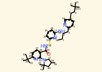 CCC(Cc1ccc(CCC(C)(C)C)cn1)Nc1cccc(SNC(=O)c2ccc(C(C)(C)C)nc2N2CC(C)CC2(C)C)n1